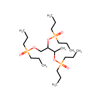 CCCP(=O)(CCC)OCC(OP(=O)(CCC)CCC)C(C)OP(=O)(CCC)CCC